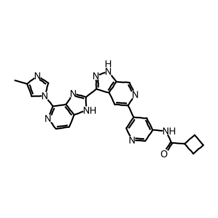 Cc1cn(-c2nccc3[nH]c(-c4n[nH]c5cnc(-c6cncc(NC(=O)C7CCC7)c6)cc45)nc23)cn1